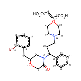 O=C(O)/C=C/C(=O)O.O=C1COC(Cc2ccccc2Br)CN1C(CCN1CCOCC1)c1ccccc1